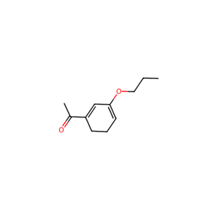 CCCOC1=CCCC(C(C)=O)=C1